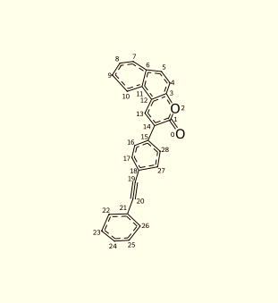 O=c1oc2ccc3ccccc3c2cc1-c1ccc(C#Cc2ccccc2)cc1